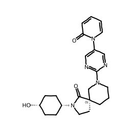 O=C1N([C@H]2CC[C@@H](O)CC2)CC[C@]12CCCN(c1ncc(-n3ccccc3=O)cn1)C2